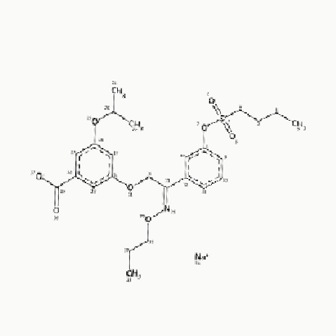 CCCCS(=O)(=O)Oc1cccc(/C(COc2cc(OC(C)C)cc(C(=O)[O-])c2)=N/OCCC)c1.[Na+]